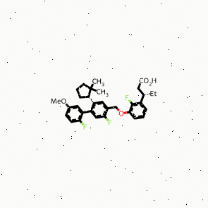 CC[C@@H](CC(=O)O)c1cccc(OCc2cc([C@@H]3CCCC3(C)C)c(-c3cc(OC)ccc3F)cc2F)c1F